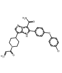 C=CC(=O)N1CCC(c2cnn3c(C(N)=O)c(-c4ccc(Oc5ccc(Cl)cc5)cc4)[nH]c23)CC1